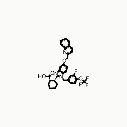 O=C(O)[C@@H]1CCCC[C@@H]1c1nc2cc(OCc3ccc4ccccc4n3)ccc2n1Cc1ccc(OC(F)(F)F)c(F)c1